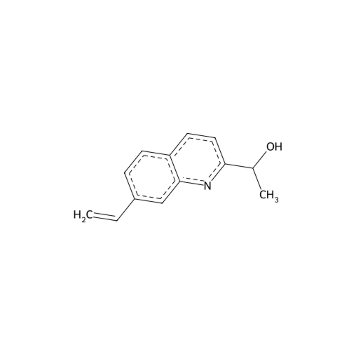 C=Cc1ccc2ccc(C(C)O)nc2c1